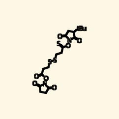 CC(C)(C)C1CC(=O)N(OC(=S)CCSSCCC(=O)ON2C(=O)CCC2=O)C1=O